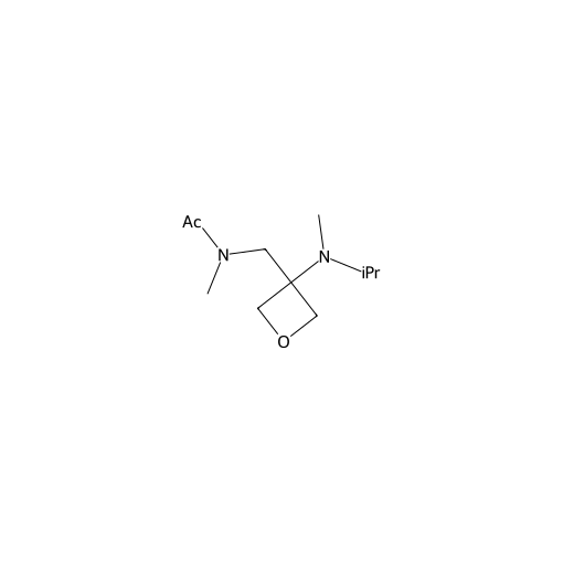 CC(=O)N(C)CC1(N(C)C(C)C)COC1